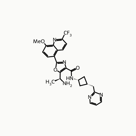 COc1ccc(-c2nc(C(=O)N[C@H]3C[C@@H](Cc4ncccn4)C3)c([C@H](C)N)o2)c2ccc(C(F)(F)F)nc12